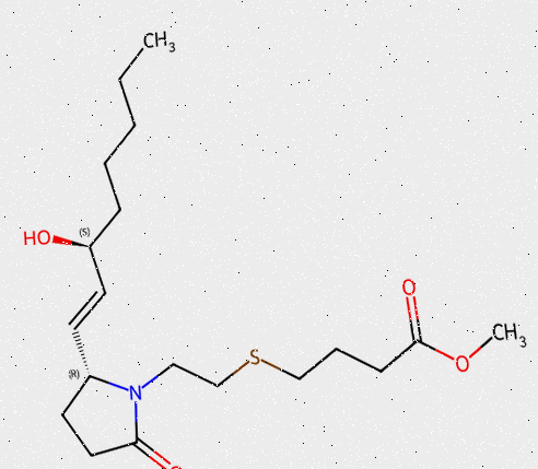 CCCCC[C@H](O)C=C[C@H]1CCC(=O)N1CCSCCCC(=O)OC